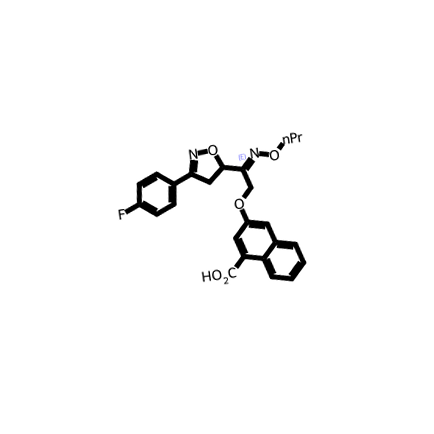 CCCO/N=C(\COc1cc(C(=O)O)c2ccccc2c1)C1CC(c2ccc(F)cc2)=NO1